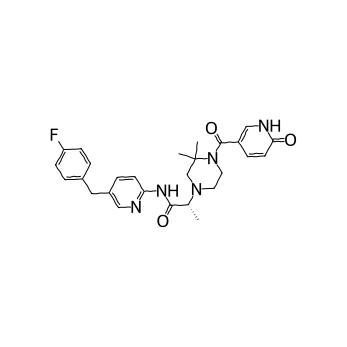 C[C@H](C(=O)Nc1ccc(Cc2ccc(F)cc2)cn1)N1CCN(C(=O)c2ccc(=O)[nH]c2)C(C)(C)C1